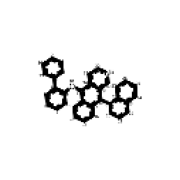 c1ccc(-c2ccccc2Oc2c3ccccc3c(-c3cccc4ccccc34)c3cnccc23)cc1